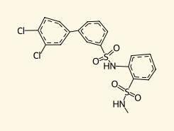 CNS(=O)(=O)c1ccccc1NS(=O)(=O)c1cccc(-c2ccc(Cl)c(Cl)c2)c1